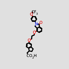 O=C(O)CC1CCc2cc(OCCCOc3cccc4c3CN(c3ccc(OC(F)(F)F)cc3)C4=O)ccc21